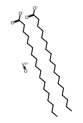 CCCCCCCCCCCCCCCCCC(=O)[O-].CCCCCCCCCCCCCCCCCC(=O)[O-].[O]=[V+2]